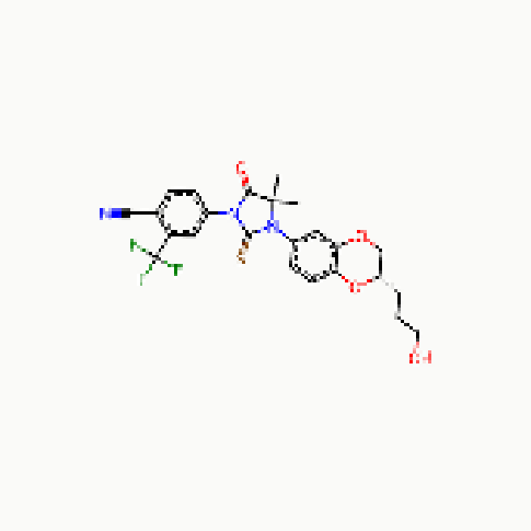 CC1(C)C(=O)N(c2ccc(C#N)c(C(F)(F)F)c2)C(=S)N1c1ccc2c(c1)OC[C@H](CCCO)O2